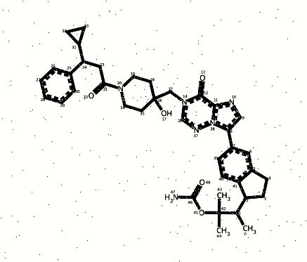 CC(C1CCc2cc(-c3cnc4c(=O)n(CC5(O)CCN(C(=O)CC(c6ccccc6)C6CC6)CC5)cnn34)ccc21)C(C)(C)OC(N)=O